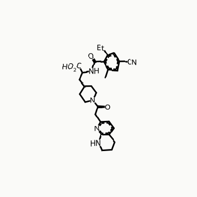 CCc1cc(C#N)cc(C)c1C(=O)NC(CC1CCN(C(=O)Cc2ccc3c(n2)NCCC3)CC1)C(=O)O